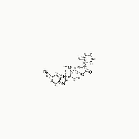 CO[C@]1(Cn2cnc3ccc(C#N)cc32)CCC[C@@]2(CN(c3ccccc3C)C(=O)O2)C1